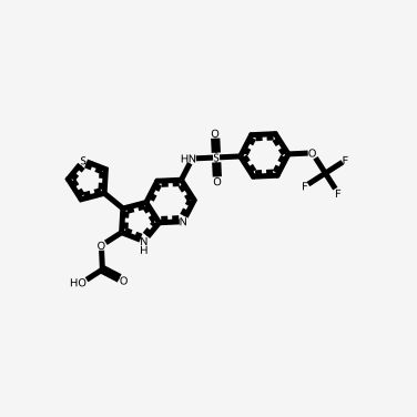 O=C(O)Oc1[nH]c2ncc(NS(=O)(=O)c3ccc(OC(F)(F)F)cc3)cc2c1-c1ccsc1